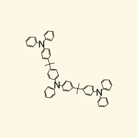 CC(C)(c1ccc(N(c2ccccc2)c2ccccc2)cc1)c1ccc(N(c2ccccc2)c2ccc(C(C)(C)c3ccc(N(c4ccccc4)c4ccccc4)cc3)cc2)cc1